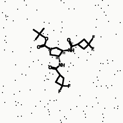 CC(C)(C)OC(=O)N1C[C@@H](NC(=O)C2CC(F)(F)C2)[C@H](NC(=O)C2CC(F)(F)C2)C1